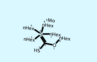 CCCCCCOC(S)=S(CCCCCC)(CCCCCC)(CCCCCC)CCCCCC.[Mo]